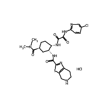 CN(C)C(=O)[C@H]1CC[C@H](NC(=O)C(=O)Nc2ccc(Cl)cn2)[C@H](NC(=O)c2nc3c(s2)CNCC3)C1.Cl